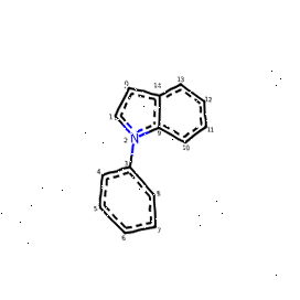 [c]1[c]n(-c2ccccc2)c2ccccc12